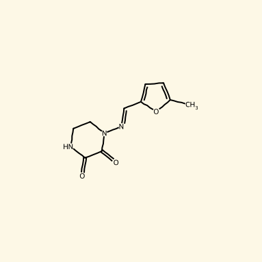 Cc1ccc(/C=N/N2CCNC(=O)C2=O)o1